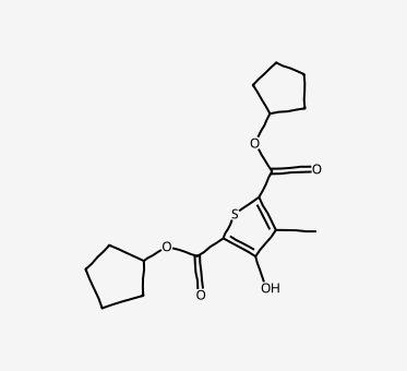 Cc1c(C(=O)OC2CCCC2)sc(C(=O)OC2CCCC2)c1O